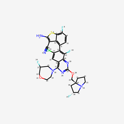 N#Cc1c(N)sc2c(F)ccc(-c3c(Cl)cc4c(N5CCOCC(F)C5)nc(OC[C@@]56CCCN5C[C@H](F)C6)nc4c3F)c12